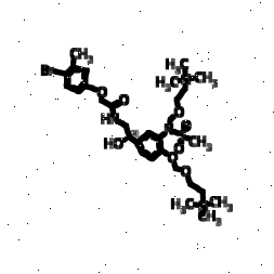 Cc1cc(OCC(=O)NC[C@H](O)c2ccc(OCOCC[Si](C)(C)C)c(N(COCC[Si](C)(C)C)S(C)(=O)=O)c2)ccc1Br